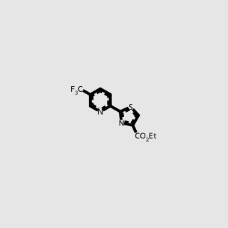 CCOC(=O)c1csc(-c2ccc(C(F)(F)F)cn2)n1